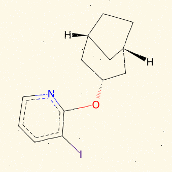 Ic1cccnc1O[C@@H]1C[C@@H]2CC[C@@H](C2)C1